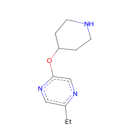 CCc1cnc(OC2CCNCC2)cn1